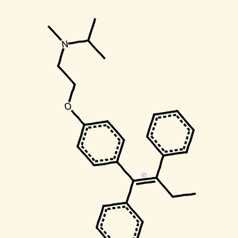 CC/C(=C(\c1ccccc1)c1ccc(OCCN(C)C(C)C)cc1)c1ccccc1